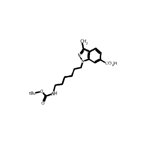 Cc1nn(CCCCCCNC(=O)OC(C)(C)C)c2cc(C(=O)O)ccc12